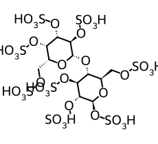 O=S(=O)(O)OC[C@H]1O[C@@H](O[C@H]2[C@H](OS(=O)(=O)O)[C@@H](OS(=O)(=O)O)[C@H](OS(=O)(=O)O)O[C@@H]2COS(=O)(=O)O)[C@H](OS(=O)(=O)O)[C@@H](OS(=O)(=O)O)[C@H]1OS(=O)(=O)O